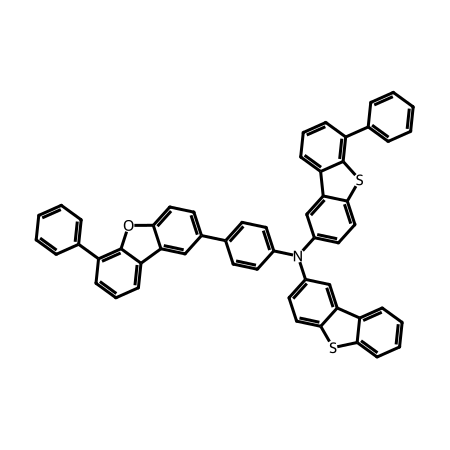 c1ccc(-c2cccc3c2oc2ccc(-c4ccc(N(c5ccc6sc7ccccc7c6c5)c5ccc6sc7c(-c8ccccc8)cccc7c6c5)cc4)cc23)cc1